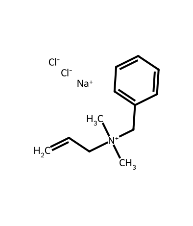 C=CC[N+](C)(C)Cc1ccccc1.[Cl-].[Cl-].[Na+]